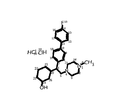 CN1CCN(CC(c2ccc(-c3ccc(F)cc3)cc2)C2CCCC(O)C2)CC1.Cl.Cl